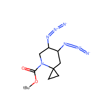 CC(C)(C)OC(=O)N1CC(N=[N+]=[N-])C(N=[N+]=[N-])CC12CC2